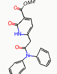 COC(=O)c1ccc(CC(=O)N(c2ccccc2)c2ccccc2)[nH]c1=O